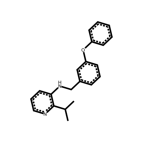 CC(C)c1ncccc1NCc1cccc(Oc2ccccc2)c1